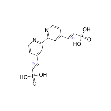 O=P(O)(O)/C=C/c1ccnc(-c2cc(/C=C/P(=O)(O)O)ccn2)c1